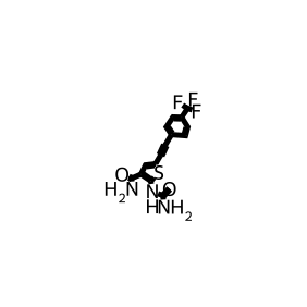 NC(=O)Nc1sc(C#Cc2ccc(C(F)(F)F)cc2)cc1C(N)=O